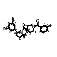 O=C(c1cccc(F)c1)N1CCC2(CC1)O[C@@H]1CC[C@@H](c3cc(F)cc(F)c3)N1C2=O